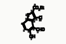 CCOC(=O)c1sc2ccc(O)c(C=O)c2c1Cl